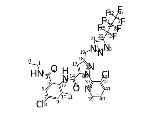 CCNC(=O)c1cc(Cl)cc(C)c1NC(=O)c1cc(Cn2cc(C(F)(F)C(F)(F)C(F)(F)F)nn2)nn1-c1ncccc1Cl